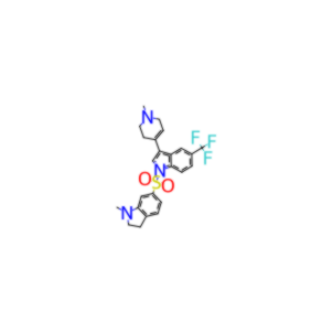 CN1CC=C(c2cn(S(=O)(=O)c3ccc4c(c3)N(C)CC4)c3ccc(C(F)(F)F)cc23)CC1